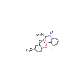 CCN(C(=O)NC)c1cccc(F)c1COc1ccc(C)cc1C